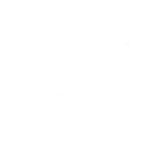 CCCCOc1ccc(C(=O)Nc2ccc(N3CCC(N(C)C(=O)OC(C)(C)C)C3)c3ccccc23)cc1